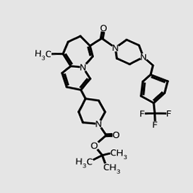 CC1=C2C=CC(C3CCN(C(=O)OC(C)(C)C)CC3)=CN2C=C(C(=O)N2CCN(Cc3ccc(C(F)(F)F)cc3)CC2)CC1